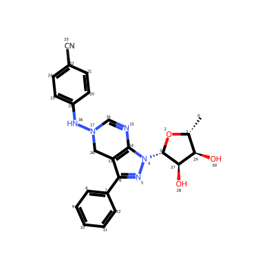 C[C@H]1O[C@@H](n2nc(-c3ccccc3)c3c2N=CN(Nc2ccc(C#N)cc2)C3)[C@H](O)[C@@H]1O